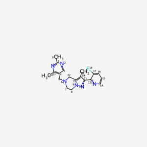 Cc1ncc(CN2CCn3nc(-c4ncccc4F)c(C)c3C2)c(C)n1